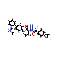 CC(C)NCc1ccccc1-c1ccc(N2CCC[C@@H](NC(=O)Nc3ccc(C(F)(F)F)cc3)C2=O)cc1